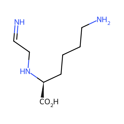 N=CCN[C@@H](CCCCN)C(=O)O